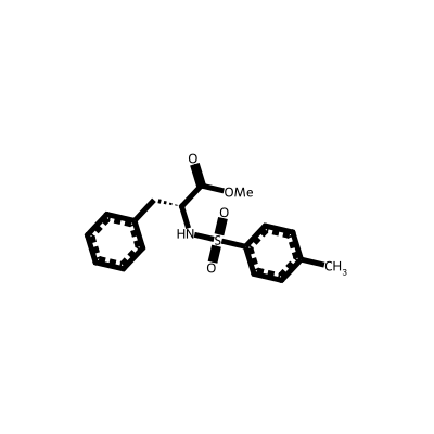 COC(=O)[C@@H](Cc1ccccc1)NS(=O)(=O)c1ccc(C)cc1